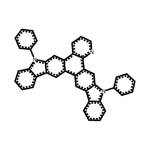 c1ccc(-n2c3ccccc3c3cc4c(cc32)c2cccnc2c2cc3c(cc42)c2ccccc2n3-c2ccccc2)cc1